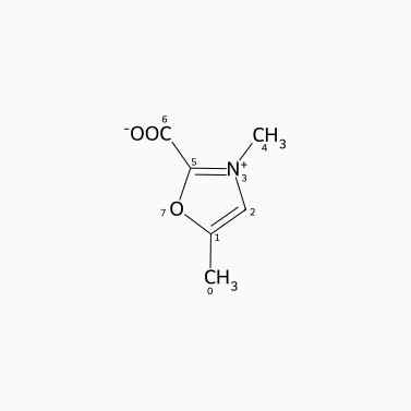 Cc1c[n+](C)c(C(=O)[O-])o1